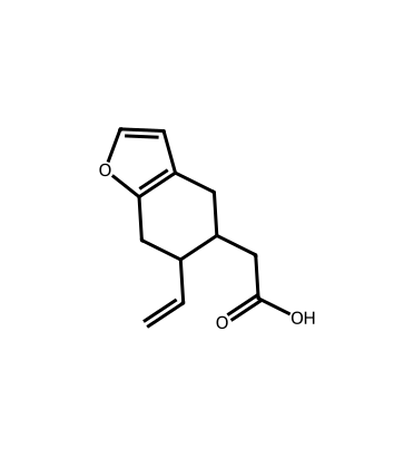 C=CC1Cc2occc2CC1CC(=O)O